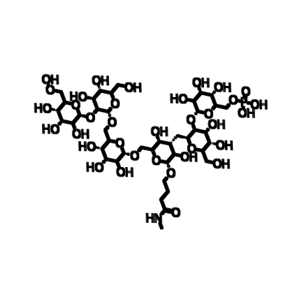 CNC(=O)CCCO[C@@H]1OC(CO[C@H]2OC(CO[C@H]3OC(CO)[C@@H](O)[C@H](O)C3O[C@@H]3OC(COO)[C@@H](O)[C@H](O)C3O)[C@@H](O)[C@H](O)C2O)[C@@H](O)[C@H](C[C@@H]2OC(CO)[C@@H](O)[C@H](O)C2O[C@H]2OC(COP(=O)(O)O)[C@@H](O)[C@H](O)C2O)C1O